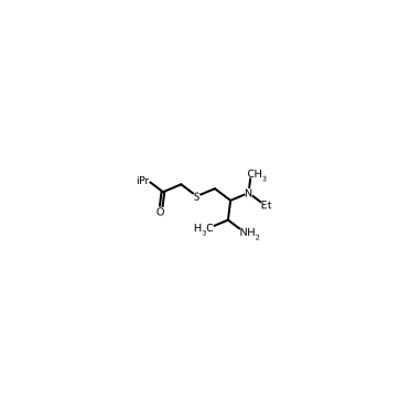 CCN(C)C(CSCC(=O)C(C)C)C(C)N